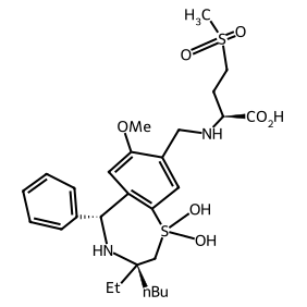 CCCC[C@]1(CC)CS(O)(O)c2cc(CN[C@@H](CCS(C)(=O)=O)C(=O)O)c(OC)cc2[C@@H](c2ccccc2)N1